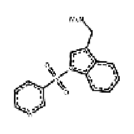 CNCc1cn(S(=O)(=O)c2cccnc2)c2ccccc12